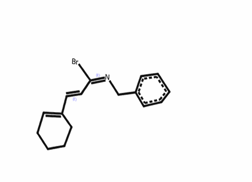 BrC(/C=C/C1=CCCCC1)=N/Cc1ccccc1